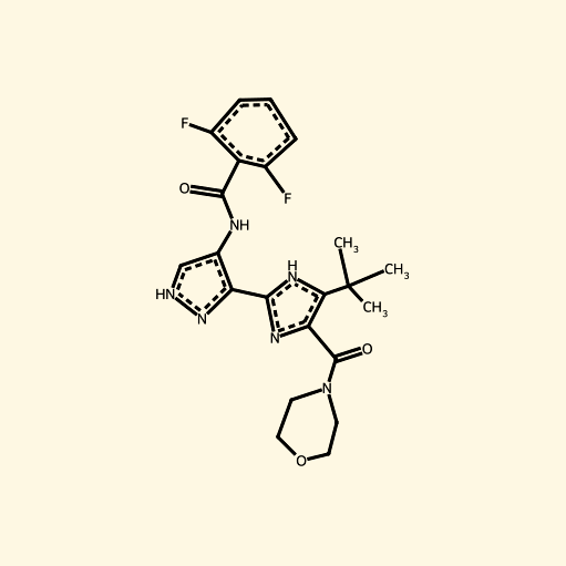 CC(C)(C)c1[nH]c(-c2n[nH]cc2NC(=O)c2c(F)cccc2F)nc1C(=O)N1CCOCC1